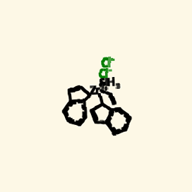 C=[CH][Zr+2]([SiH3])([CH]1C=Cc2ccccc21)[CH]1C=Cc2ccccc21.[Cl-].[Cl-]